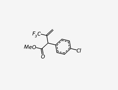 C=C(C(C(=O)OC)c1ccc(Cl)cc1)C(F)(F)F